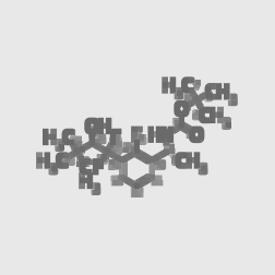 C[C@@H](NC(=O)OC(C)(C)C)c1cccc(C(F)(F)[C@H](O)C(C)(C)C)c1F